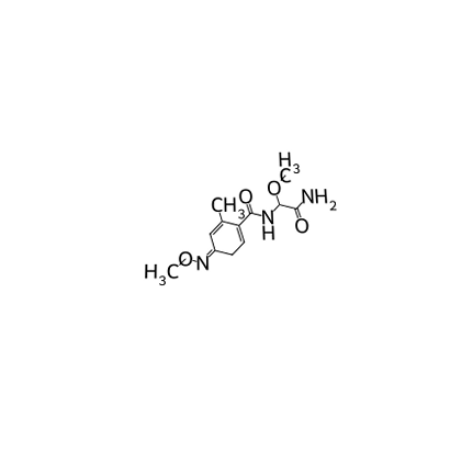 CON=C1C=C(C)C(C(=O)NC(OC)C(N)=O)=CC1